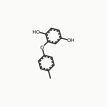 Cc1ccc(Oc2cc(O)ccc2O)cc1